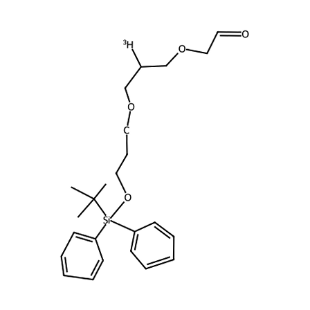 [3H]C(COCC=O)COCCCO[Si](c1ccccc1)(c1ccccc1)C(C)(C)C